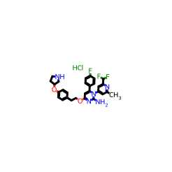 Cc1cc(N2C(c3ccc(F)cc3)=CC(OCCc3ccc(OC4CCNC4)cc3)=NC2N)cc(C(F)F)n1.Cl